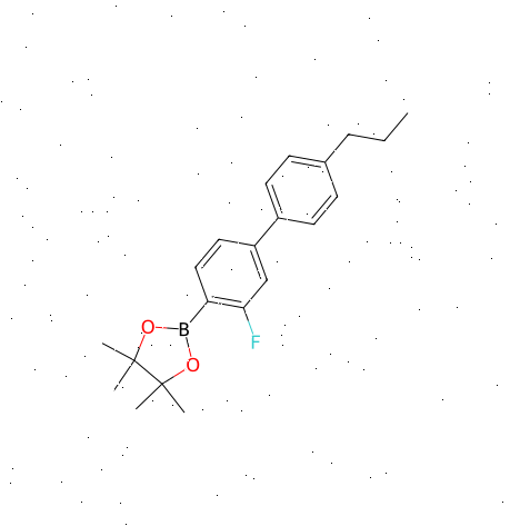 CCCc1ccc(-c2ccc(B3OC(C)(C)C(C)(C)O3)c(F)c2)cc1